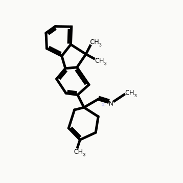 C/N=C/C1(c2ccc3c(c2)C(C)(C)c2ccccc2-3)CC=C(C)CC1